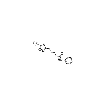 O=C(CCCCc1noc(C(F)(F)F)n1)Nc1ccccc1